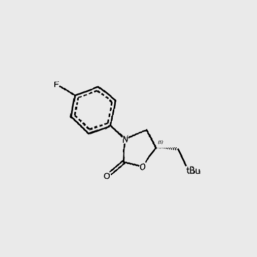 CC(C)(C)C[C@H]1CN(c2ccc(F)cc2)C(=O)O1